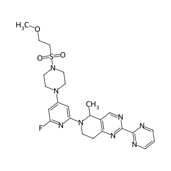 COCCS(=O)(=O)N1CCN(c2cc(F)nc(N3CCc4nc(-c5ncccn5)ncc4C3C)c2)CC1